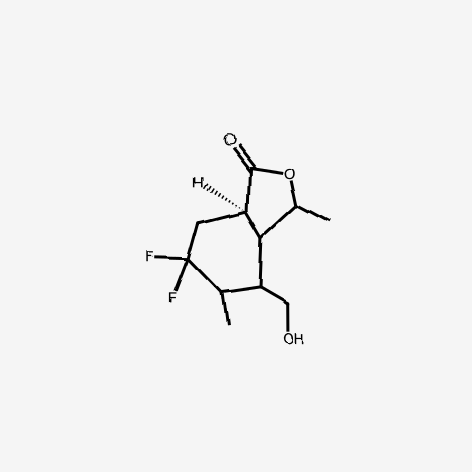 CC1OC(=O)[C@@H]2CC(F)(F)C(C)C(CO)C12